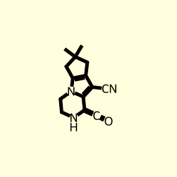 CC1(C)Cc2c(C#N)c3n(c2C1)CCNC3=C=O